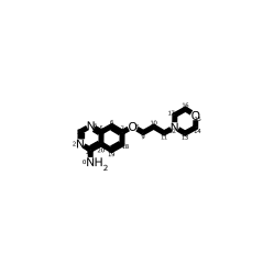 Nc1ncnc2cc(OCCCN3CCOCC3)ccc12